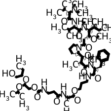 CCC(CO)OC(COC(=O)NCCC(=O)N[C@@H](C)C(=O)OCCCNC(=O)[C@H](Cc1ccccc1)NC(=O)[C@H](C)[C@@H](OC)[C@@H]1CCCN1C(=O)C[C@@H](OC)[C@H]([C@@H](C)CC)N(C)C(=O)[C@@H](NC(=O)[C@H](C(C)C)N(C)C)C(C)C)OC(C)C